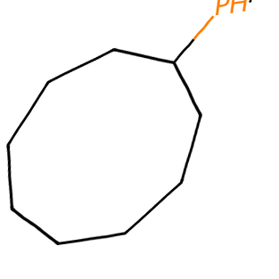 [PH]C1CCCCCCCC1